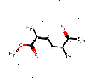 COC(=O)/C(C)=C\CC(C)C(C)=O